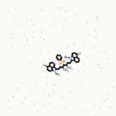 CCC(C)n1/c(=C/C=C(C)/C(=C(C)/C=C/C2=[N+](C(C)CC)c3ccc(Cl)c4cccc2c34)S(=O)(=O)c2ccccc2)c2cccc3c(Cl)ccc1c32